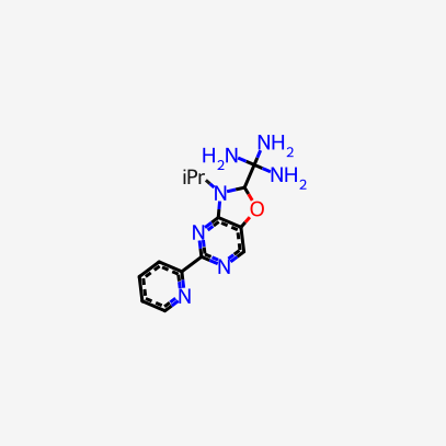 CC(C)N1c2nc(-c3ccccn3)ncc2OC1C(N)(N)N